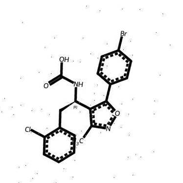 Cc1noc(-c2ccc(Br)cc2)c1[C@@H](Cc1ccccc1Cl)NC(=O)O